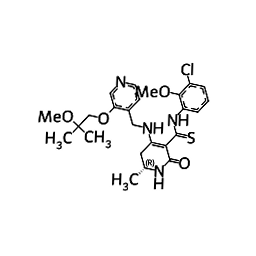 COc1c(Cl)cccc1NC(=S)C1=C(NCc2ccncc2OCC(C)(C)OC)C[C@@H](C)NC1=O